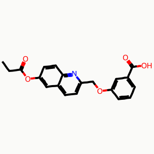 CCC(=O)Oc1ccc2nc(COc3cccc(C(=O)O)c3)ccc2c1